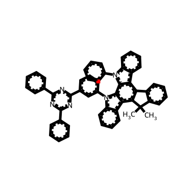 CC1(C)c2ccccc2-c2c1c1c3ccccc3n(-c3cccc(-c4nc(-c5ccccc5)nc(-c5ccccc5)n4)c3)c1c1c2c2ccccc2n1-c1ccccc1